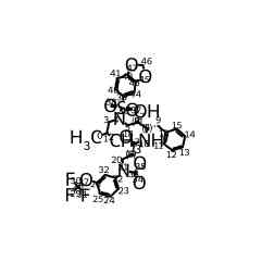 CC(C)CN(C[C@@H](O)[C@H](Cc1ccccc1)NC(=O)[C@@H]1CN(c2cccc(OC(F)(F)F)c2)C(=O)O1)S(=O)(=O)c1ccc2c(c1)OCO2